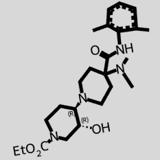 CCOC(=O)N1CC[C@@H](N2CCC(C(=O)Nc3c(C)cccc3C)(N(C)C)CC2)[C@H](O)C1